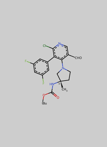 CC(C)(C)OC(=O)N[C@@]1(C)CCN(c2c(C=O)cnc(Cl)c2-c2cc(F)cc(F)c2)C1